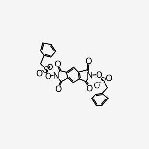 O=c1c2cc3c(=O)n(OS(=O)(=O)Cc4ccccc4)c(=O)c3cc2c(=O)n1OS(=O)(=O)Cc1ccccc1